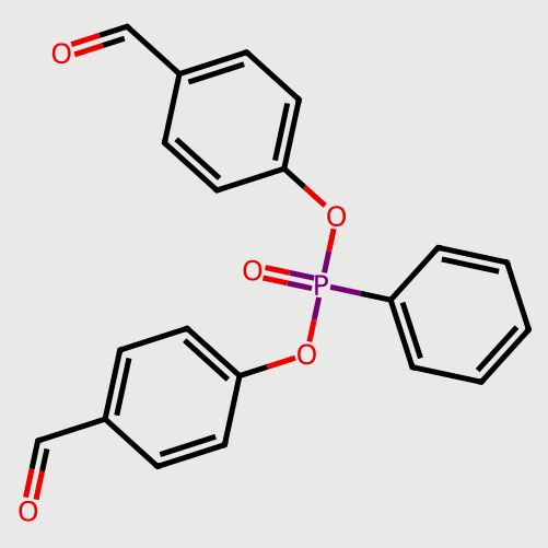 O=Cc1ccc(OP(=O)(Oc2ccc(C=O)cc2)c2ccccc2)cc1